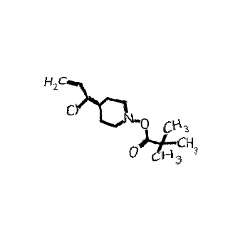 C=CC(Cl)=C1CCN(OC(=O)C(C)(C)C)CC1